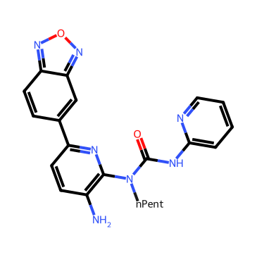 CCCCCN(C(=O)Nc1ccccn1)c1nc(-c2ccc3nonc3c2)ccc1N